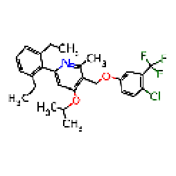 CCc1cccc(CC)c1-c1cc(OC(C)C)c(COc2ccc(Cl)c(C(F)(F)F)c2)c(C)n1